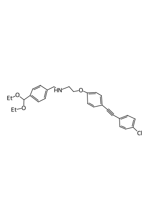 CCOC(OCC)c1ccc(CNCCOc2ccc(C#Cc3ccc(Cl)cc3)cc2)cc1